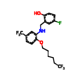 Oc1ccc(F)cc1CNc1cc(C(F)(F)F)ccc1OCCCCCC(F)(F)F